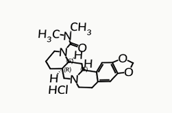 CN(C)C(=O)N1CCC[C@@H]2CN3CCc4cc5c(cc4[C@@H]3C[C@@H]21)OCO5.Cl